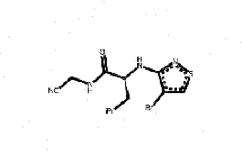 CC(C)C[C@H](Nc1nscc1Br)C(=O)NCC#N